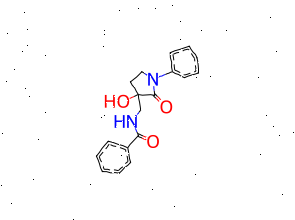 O=C(NCC1(O)CCN(c2ccccc2)C1=O)c1ccccc1